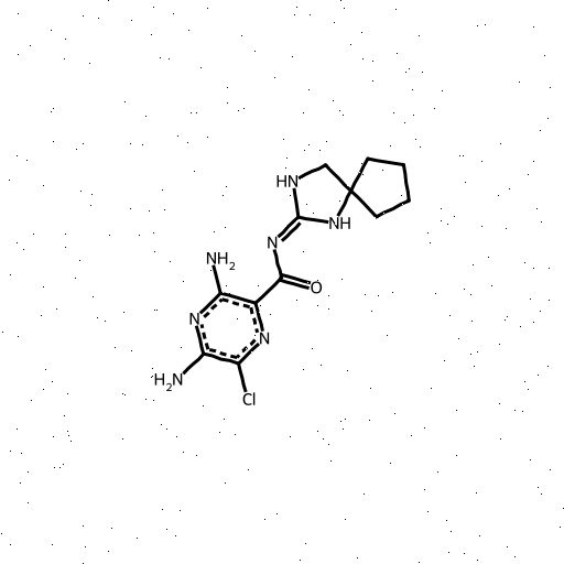 Nc1nc(N)c(C(=O)/N=C2/NCC3(CCCC3)N2)nc1Cl